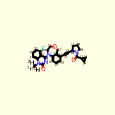 [2H]C([2H])([2H])n1c(=O)nc(N2CCOCc3c(C#CC4CCCN4C(=O)C4CC4)cccc32)c2c(F)cccc21